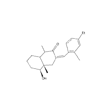 CCc1ccc(/C=C2/C[C@@]3(C)C(CCC[C@@H]3O)C(C)C2=O)c(C)c1